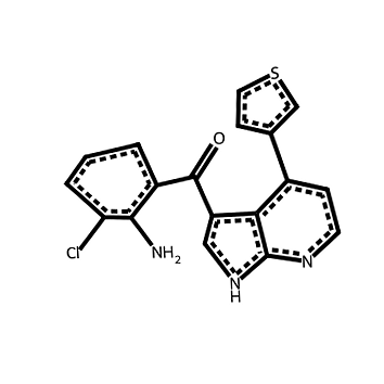 Nc1c(Cl)cccc1C(=O)c1c[nH]c2nccc(-c3ccsc3)c12